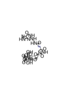 O=C(/C=C/c1cn([C@H]2C[C@@H](O)C(COP(=O)(O)OP(=O)(O)OP(=O)(O)O)O2)c(=O)[nH]c1=O)NCCNc1nc2[nH]cnc2c(=O)[nH]1